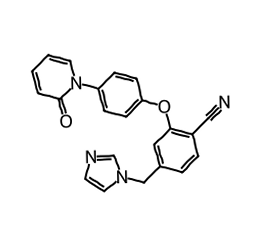 N#Cc1ccc(Cn2ccnc2)cc1Oc1ccc(-n2ccccc2=O)cc1